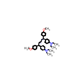 CCN(CC)c1ccc(/C(=C\C=C\C(=C2C=CC(=[N+](CC)CC)C=C2)c2ccc(OC)cc2)c2ccc(OC)cc2)cc1